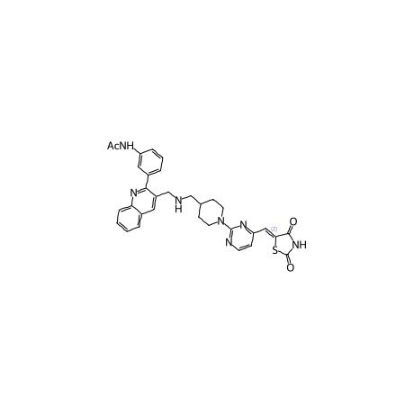 CC(=O)Nc1cccc(-c2nc3ccccc3cc2CNCC2CCN(c3nccc(/C=C4\SC(=O)NC4=O)n3)CC2)c1